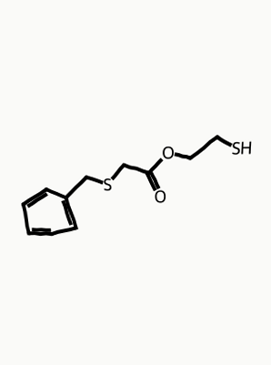 O=C(CSCc1ccccc1)OCCS